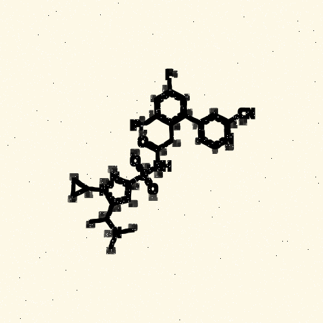 CC(C)c1cc(F)cc(-c2ccnc(C#N)c2)c1CC(=O)NS(=O)(=O)c1cc(C(C)N(C)C)n(C2CC2)n1